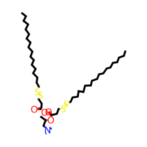 CCCCCCCCCCCCCCCCCCSSCCC(=O)OCC(CN(C)C)OC(=O)CCSSCCCCCCCCCCCCCCCCCC